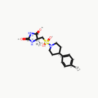 C[C@]1(CS(=O)(=O)N2CCC(c3ccc(C(F)(F)F)cc3)CC2)NC(=O)NC1=O